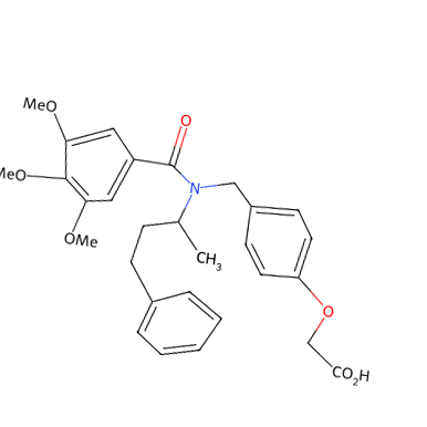 COc1cc(C(=O)N(Cc2ccc(OCC(=O)O)cc2)C(C)CCc2ccccc2)cc(OC)c1OC